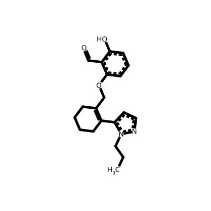 CCCn1nccc1C1=C(COc2cccc(O)c2C=O)CCCC1